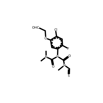 CN(C)C(=O)N(C(=O)N(C)C=S)c1cc(OCC=O)c(Cl)cc1F